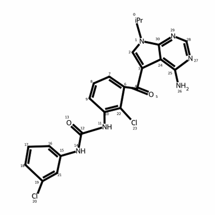 CC(C)n1cc(C(=O)c2cccc(NC(=O)Nc3cccc(Cl)c3)c2Cl)c2c(N)ncnc21